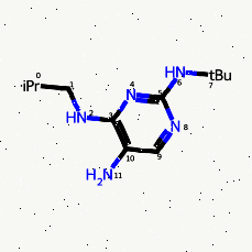 C[C](C)[CH]Nc1nc(NC(C)(C)C)ncc1N